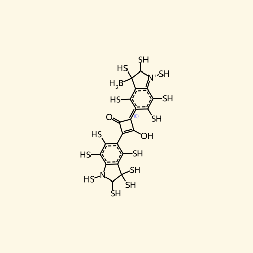 BC1(S)c2c(S)/c(=C3\C(=O)C(c4c(S)c(S)c5c(c4S)C(S)(S)C(S)N5S)=C3O)c(S)c(S)c2=[N+](S)C1S